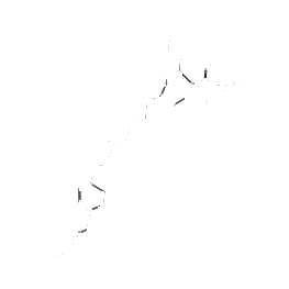 CCON=Cc1ccc(OCCCCCOc2ccc(C(=O)N(C(C)C)C(C)C)c(OCC(=O)O)c2)cc1